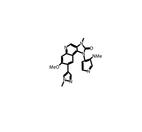 CNc1cnccc1-n1c(=O)n(C)c2cnc3cc(OC)c(-c4cnn(C)c4)cc3c21